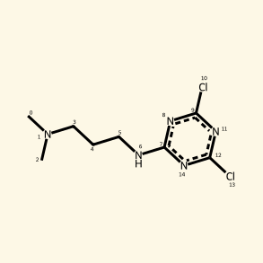 CN(C)CCCNc1nc(Cl)nc(Cl)n1